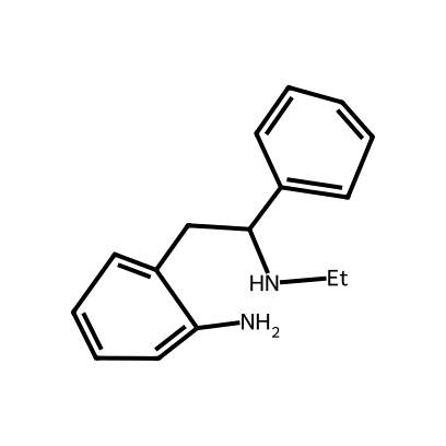 CCNC(Cc1ccccc1N)c1ccccc1